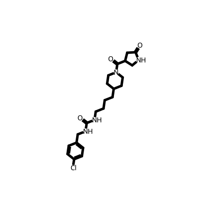 O=C1CC(C(=O)N2CCC(CCCCNC(=O)NCc3ccc(Cl)cc3)CC2)CN1